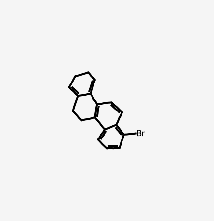 Brc1cccc2c3c(ccc12)C1=CCCC=C1CC3